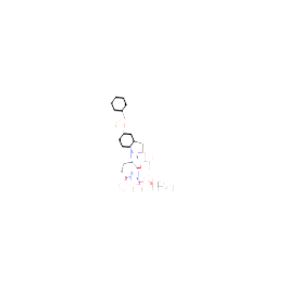 CC(C)(C)OC(=O)N1C(=O)CCC(N2C(=O)Cc3cc(OCc4ccccc4)ccc32)C1=O